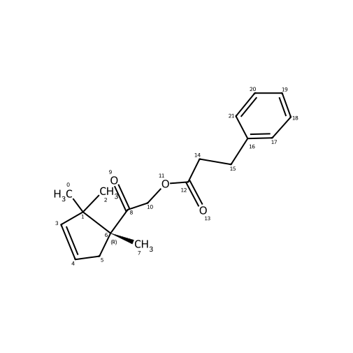 CC1(C)C=CC[C@@]1(C)C(=O)COC(=O)CCc1ccccc1